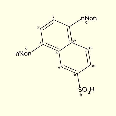 CCCCCCCCCc1ccc(CCCCCCCCC)c2cc(S(=O)(=O)O)ccc12